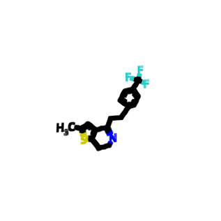 Cc1cc2c(s1)CCN=C2CCc1ccc(C(F)(F)F)cc1